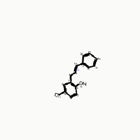 Oc1ccc(Cl)cc1C/C=C/c1ccccc1